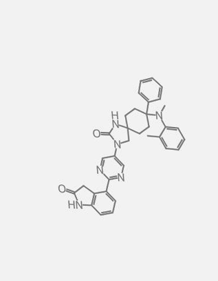 Cc1ccccc1N(C)C1(c2ccccc2)CCC2(CC1)CN(c1cnc(-c3cccc4c3CC(=O)N4)nc1)C(=O)N2